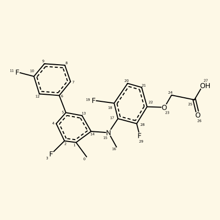 Cc1c(F)cc(-c2cccc(F)c2)cc1N(C)c1c(F)ccc(OCC(=O)O)c1F